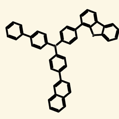 c1ccc(-c2ccc(N(c3ccc(-c4ccc5ccccc5c4)cc3)c3ccc(-c4cccc5c4sc4ccccc45)cc3)cc2)cc1